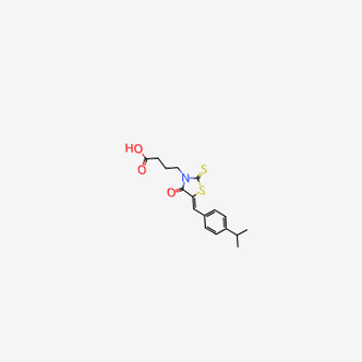 CC(C)c1ccc(/C=C2\SC(=S)N(CCCC(=O)O)C2=O)cc1